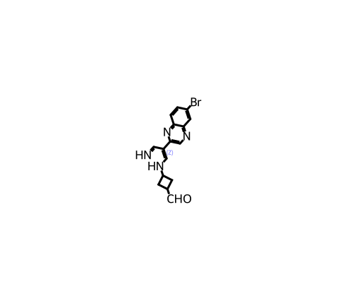 N=C/C(=C\NC1CC(C=O)C1)c1cnc2cc(Br)ccc2n1